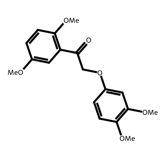 COc1ccc(OC)c(C(=O)COc2ccc(OC)c(OC)c2)c1